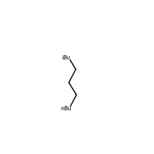 C[C]C(C)CCCCCCC